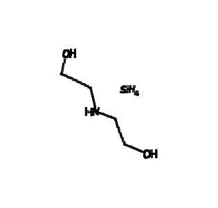 OCCNCCO.[SiH4]